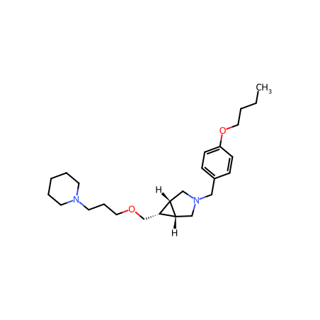 CCCCOc1ccc(CN2C[C@@H]3[C@H](COCCCN4CCCCC4)[C@@H]3C2)cc1